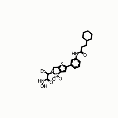 CCC(C(=O)NO)N1Cc2sc(-c3cccc(NC(=O)CCC4CCCCC4)c3)cc2S1(=O)=O